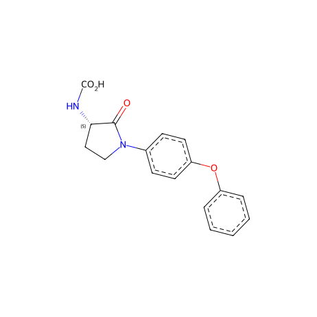 O=C(O)N[C@H]1CCN(c2ccc(Oc3ccccc3)cc2)C1=O